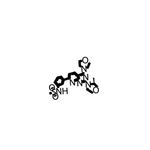 C[C@H]1COCCN1c1nc(N2CCOCC2)c2ccc(-c3cccc(NS(C)(=O)=O)c3)nc2n1